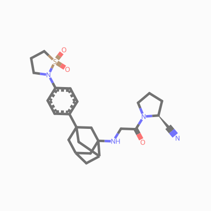 N#C[C@@H]1CCCN1C(=O)CNC12CC3CC1CC(c1ccc(N4CCCS4(=O)=O)cc1)(C3)C2